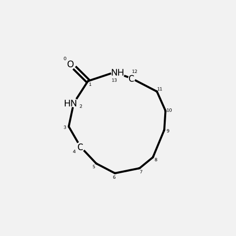 O=C1NCCCCCCCCCCN1